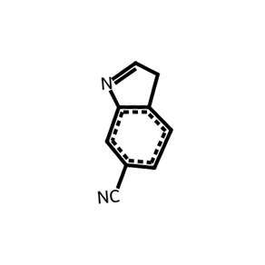 N#Cc1ccc2c(c1)N=CC2